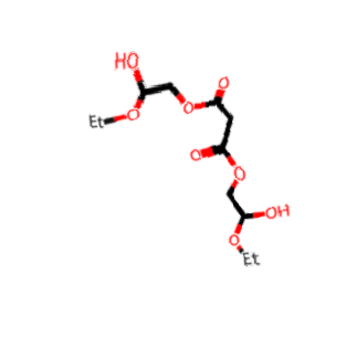 CCOC(O)COC(=O)CC(=O)OCC(O)OCC